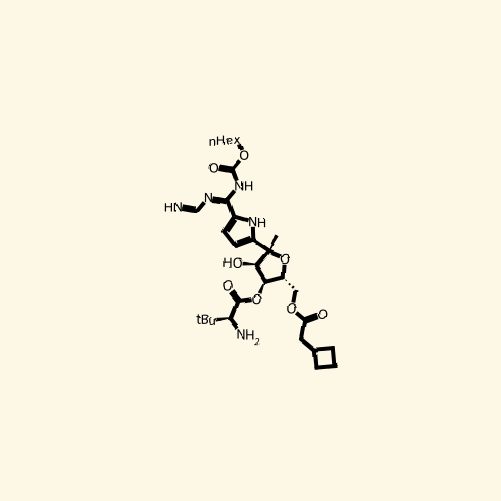 CCCCCCOC(=O)N/C(=N/C=N)c1ccc([C@]2(C)O[C@H](COC(=O)CC3CCC3)[C@@H](OC(=O)[C@@H](N)C(C)(C)C)[C@H]2O)[nH]1